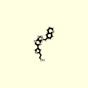 OCCC1C=C(c2cnc3nnn(Cc4ccc5ncccc5c4)c3n2)C=N1